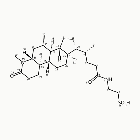 C[C@H](CCC(=O)NCCS(=O)(=O)O)[C@H]1CC[C@H]2[C@@H]3[C@@H](C)C[C@H]4N(C)C(=O)CC[C@]4(C)[C@H]3CC[C@]12C